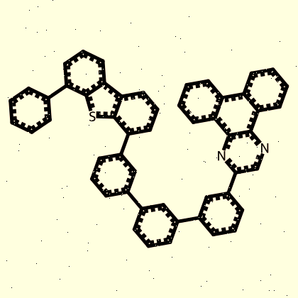 c1ccc(-c2cccc3c2sc2c(-c4cccc(-c5cccc(-c6cccc(-c7cnc8c9ccccc9c9ccccc9c8n7)c6)c5)c4)cccc23)cc1